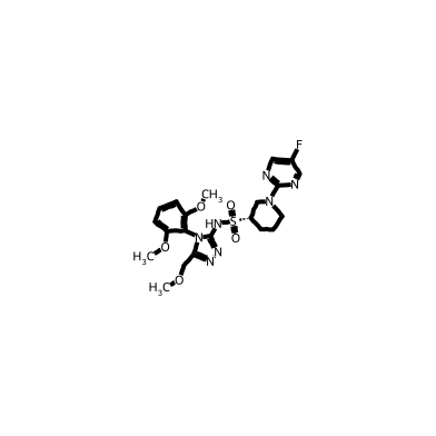 COCc1nnc(NS(=O)(=O)[C@H]2CCCN(c3ncc(F)cn3)C2)n1-c1c(OC)cccc1OC